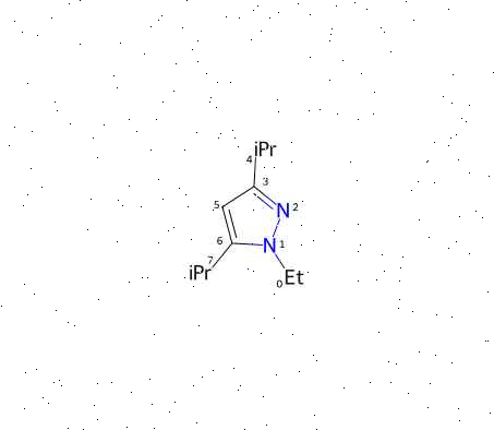 CCn1nc(C(C)C)cc1C(C)C